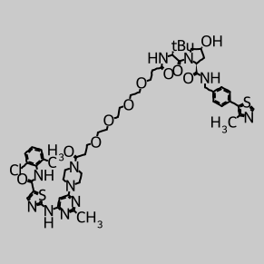 Cc1nc(Nc2ncc(C(=O)Nc3c(C)cccc3Cl)s2)cc(N2CCN(C(=O)CCOCCOCCOCCOCCC(=O)N[C@H](C(=O)N3C[C@H](O)C[C@H]3C(=O)NCc3ccc(-c4scnc4C)cc3)C(C)(C)C)CC2)n1